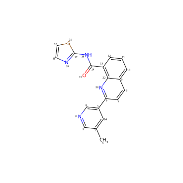 Cc1cncc(-c2ccc3cccc(C(=O)Nc4nccs4)c3n2)c1